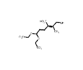 C/C(CO)=C(\CCC(OCC(Cl)(Cl)Cl)OCC(Cl)(Cl)Cl)C(=O)O